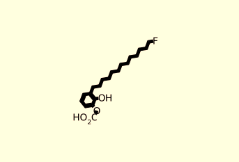 O=C(O)Oc1cccc(CCCCCCCCCCCCCF)c1O